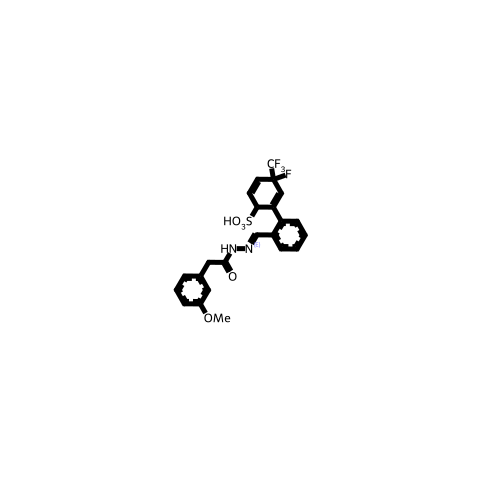 COc1cccc(CC(=O)N/N=C/c2ccccc2C2=CC(F)(C(F)(F)F)C=CC2S(=O)(=O)O)c1